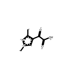 Cc1nn(C)cc1C(=O)C(=O)O